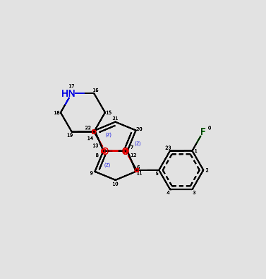 Fc1cccc(COC2=C\CC/C(OC3CCNCC3)=C/C=C\2)c1